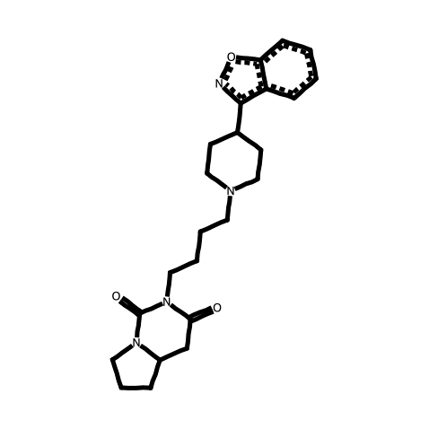 O=C1CC2CCCN2C(=O)N1CCCCN1CCC(c2noc3ccccc23)CC1